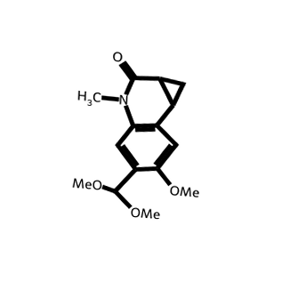 COc1cc2c(cc1C(OC)OC)N(C)C(=O)C1CC21